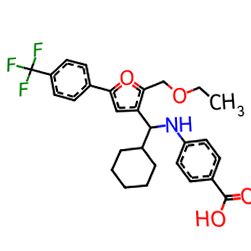 CCOCc1oc(-c2ccc(C(F)(F)F)cc2)cc1C(Nc1ccc(C(=O)O)cc1)C1CCCCC1